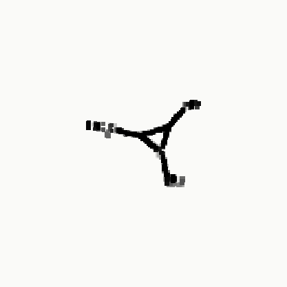 CCCC1C(C(=O)OCC)N1C(C)(C)C